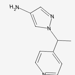 CC(c1ccncc1)n1cc(N)cn1